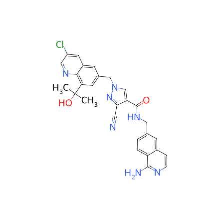 CC(C)(O)c1cc(Cn2cc(C(=O)NCc3ccc4c(N)nccc4c3)c(C#N)n2)cc2cc(Cl)cnc12